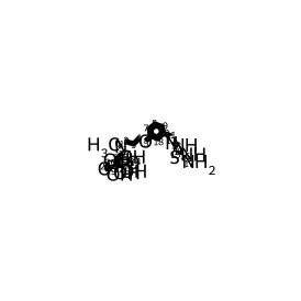 CN(CCCOc1cccc(/C=N/NC(=S)NN)c1)CCC(O)(P(=O)(O)O)P(=O)(O)O